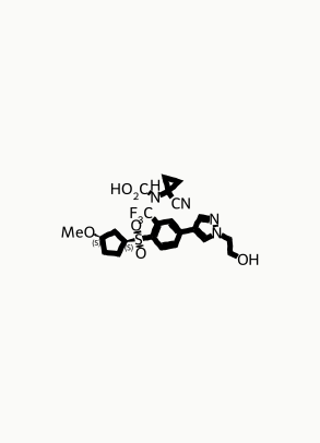 CO[C@H]1CC[C@H](S(=O)(=O)c2ccc(-c3cnn(CCO)c3)cc2C(F)(F)F)C1.N#CC1(NC(=O)O)CC1